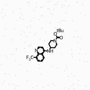 CC(C)(C)OC(=O)N1CCC(Nc2ccnc3c(C(F)(F)F)cccc23)CC1